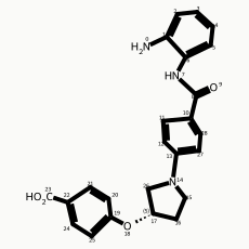 Nc1ccccc1NC(=O)c1ccc(N2CC[C@H](Oc3ccc(C(=O)O)cc3)C2)cc1